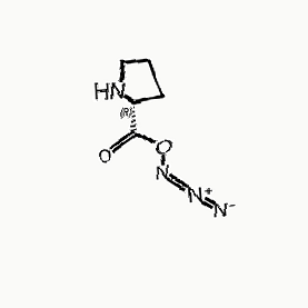 [N-]=[N+]=NOC(=O)[C@H]1CCCN1